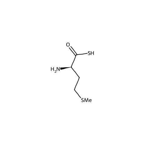 CSCC[C@@H](N)C(=O)S